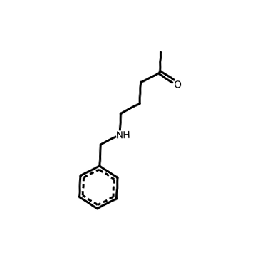 CC(=O)CCCNCc1ccccc1